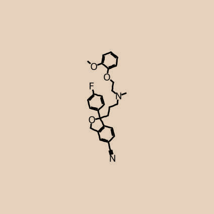 COc1ccccc1OCCN(C)CCCC1(c2ccc(F)cc2)OCc2cc(C#N)ccc21